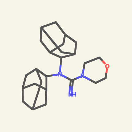 N=C(N1CCOCC1)N(C1C2CC3CC(C2)CC1C3)C1C2CC3CC(C2)CC1C3